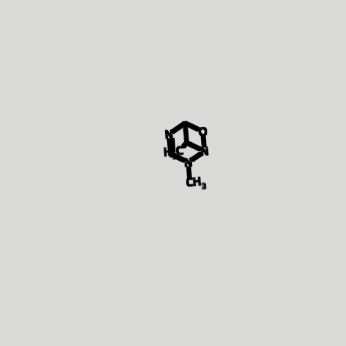 CC1C2N=[C]N(C)N1O2